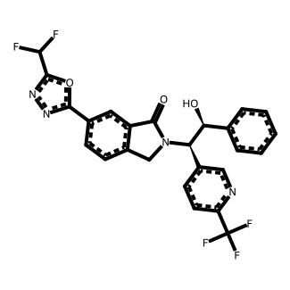 O=C1c2cc(-c3nnc(C(F)F)o3)ccc2CN1[C@H](c1ccc(C(F)(F)F)nc1)[C@@H](O)c1ccccc1